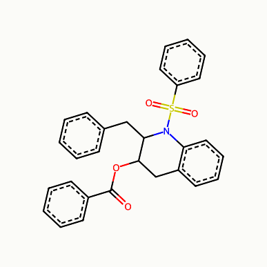 O=C(OC1Cc2ccccc2N(S(=O)(=O)c2ccccc2)C1Cc1ccccc1)c1ccccc1